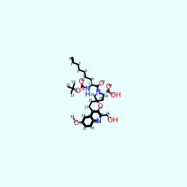 C=CCCCCC[C@H](NC(=O)OC(C)(C)C)C(=O)N1CC2(CCc3c(c(CO)nc4ccc(OC)cc34)O2)C[C@H]1C(=O)O